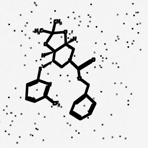 CC1(C)O[C@H]2[C@H](CN(C(=O)OCc3ccccc3)C[C@@H]2Sc2cccc(C(F)(F)F)n2)O1